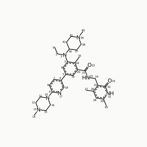 CCN(c1cc(-c2ccc(N3CCN(C)CC3)nc2)cc(C(=O)NCc2c(C)cc(C)[nH]c2=O)c1C)C1CCN(C)CC1